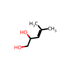 CC(C)=CC(O)CO